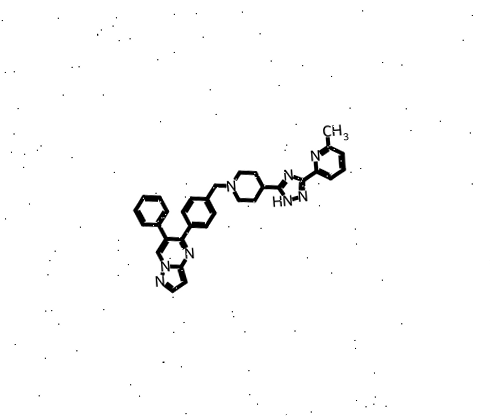 Cc1cccc(-c2n[nH]c(C3CCN(Cc4ccc(-c5nc6ccnn6cc5-c5ccccc5)cc4)CC3)n2)n1